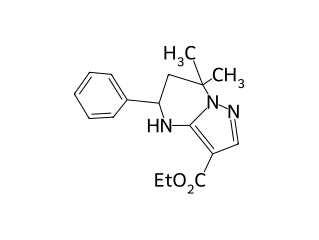 CCOC(=O)c1cnn2c1NC(c1ccccc1)CC2(C)C